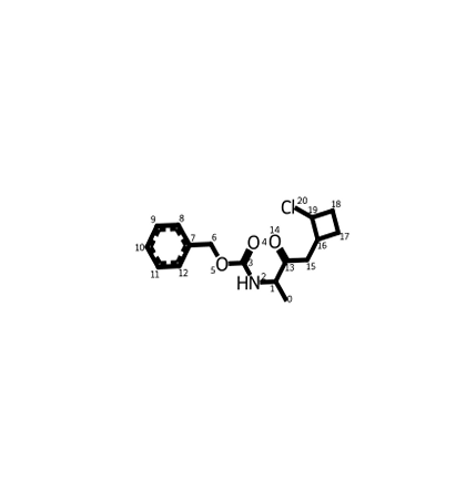 CC(NC(=O)OCc1ccccc1)C(=O)CC1CCC1Cl